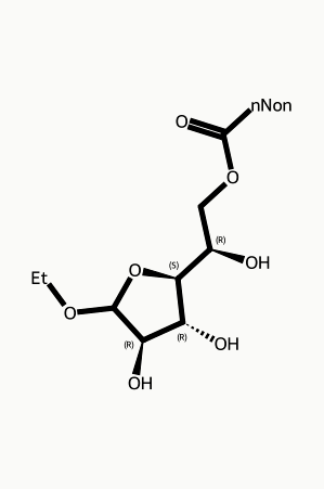 CCCCCCCCCC(=O)OC[C@@H](O)[C@@H]1OC(OCC)[C@H](O)[C@H]1O